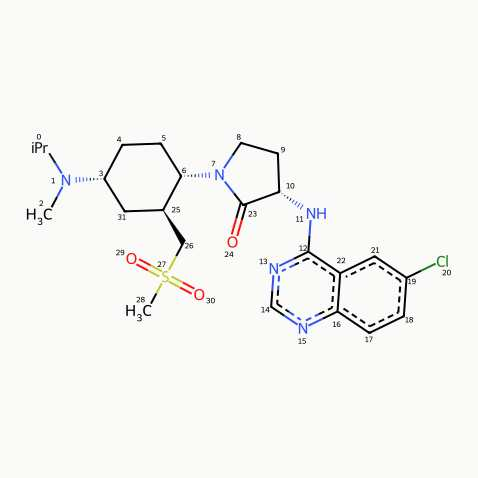 CC(C)N(C)[C@@H]1CC[C@H](N2CC[C@H](Nc3ncnc4ccc(Cl)cc34)C2=O)[C@@H](CS(C)(=O)=O)C1